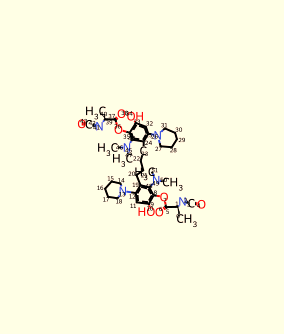 C[C@H](N=C=O)C(=O)Oc1c(O)cc(N2CCCCC2)c(CCCCc2c(N3CCCCC3)cc(O)c(OC(=O)[C@H](C)N=C=O)c2N(C)C)c1N(C)C